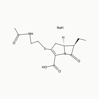 CC[C@H]1C(=O)N2C(C(=O)O)=C(SCCNC(C)=O)C[C@@H]12.[NaH]